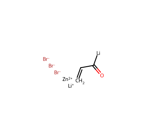 [Br-].[Br-].[Br-].[Li+].[Li][C](=O)C=C.[Zn+2]